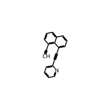 C#Cc1cccc2cccc(C#Cc3ccccn3)c12